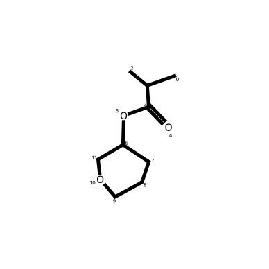 CC(C)C(=O)OC1CCCOC1